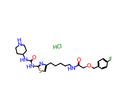 Cl.O=C(COCc1ccc(F)cc1)NCCCCCc1csc(NC(=O)NC2CCNCC2)n1